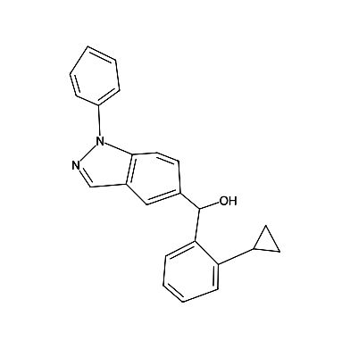 OC(c1ccc2c(cnn2-c2ccccc2)c1)c1ccccc1C1CC1